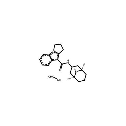 CN1[C@@H]2CCC[C@H]1CC(NC(=O)c1c3n(c4ccccc14)CCC3)C2.O=CO